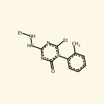 CCNNc1nc(CC)n(-c2ccccc2C)c(=O)n1